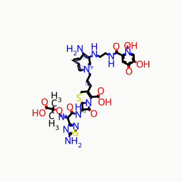 CC(C)(O/N=C(\C(=O)N[C@@H]1C(=O)N2C(C(=O)O)=C(/C=C/C[N+]3=C/C(NCCNC(=O)c4cc(=O)c(O)cn4O)=C(N)\C=C\C=C\3)CSC12)c1nsc(N)n1)C(=O)O